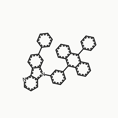 c1ccc(-c2ccc3c4ncccc4n(-c4cccc(-c5c6ccccc6c(-c6ccccc6)c6ccccc56)c4)c3c2)cc1